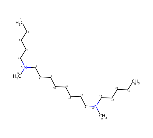 CCCCCN(C)CCCCCCCCN(C)CCCCC